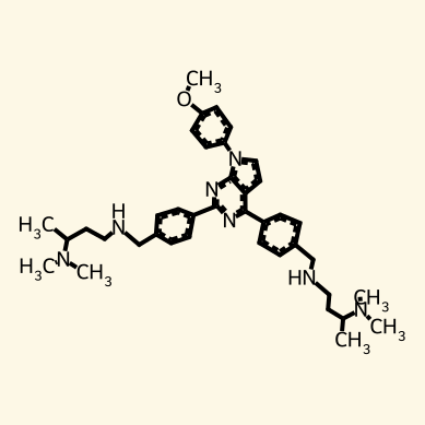 COc1ccc(-n2ccc3c(-c4ccc(CNCCC(C)N(C)C)cc4)nc(-c4ccc(CNCCC(C)N(C)C)cc4)nc32)cc1